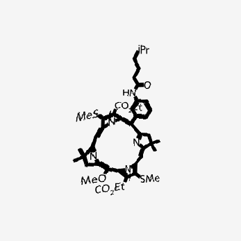 CCOC(=O)c1c(SC)c2cc3nc(c(-c4cccc(NC(=O)CCCC(C)C)c4)c4[nH]c(cc5nc(c(OC)c1[nH]2)CC5(C)C)c(SC)c4C(=O)OCC)CC3(C)C